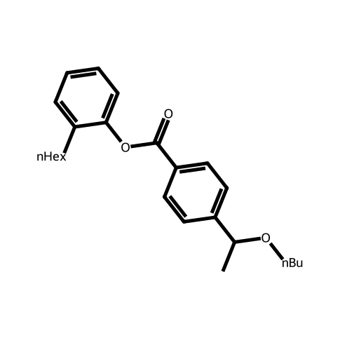 CCCCCCc1ccccc1OC(=O)c1ccc(C(C)OCCCC)cc1